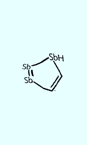 [C]1=[CH][SbH][Sb]=[Sb]1